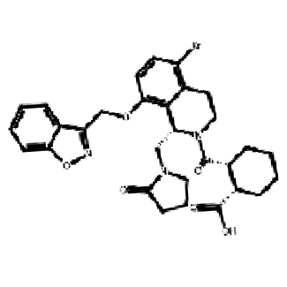 O=C(O)[C@H]1CCCC[C@H]1C(=O)N1CCc2c(Br)ccc(OCc3noc4ccccc34)c2[C@H]1CN1CCCC1=O